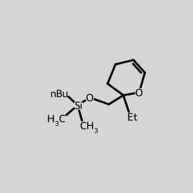 CCCC[Si](C)(C)OCC1(CC)CCC=CO1